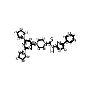 S=C(Nc1nc(-c2cccnc2)cs1)N1CCN(c2cc(N3CCCC3)nc(N3CCCC3)n2)CC1